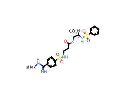 CCCCCCNC(=N)c1ccc(S(=O)(=O)NCCC(=O)NC[C@H](NS(=O)(=O)c2ccccc2)C(=O)O)cc1